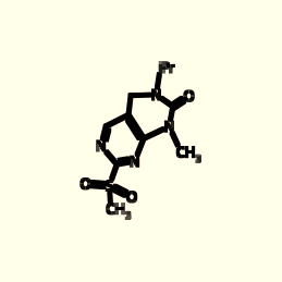 CC(C)N1Cc2cnc(S(C)(=O)=O)nc2N(C)C1=O